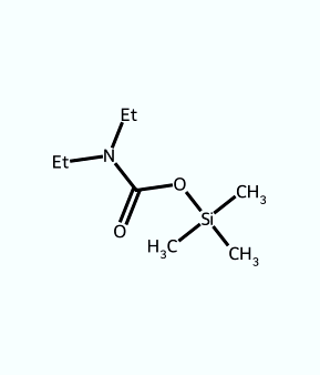 CCN(CC)C(=O)O[Si](C)(C)C